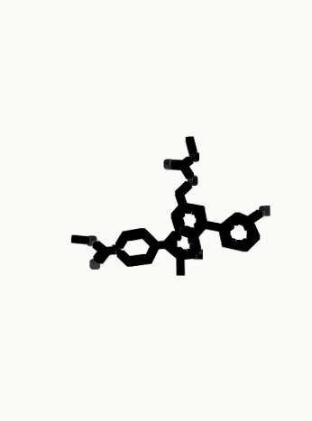 COC(=O)OCc1cc(-c2cccc(Cl)c2)c2nc(C)c(C3C=CN(C(=O)OC)C=C3)n2c1